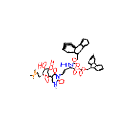 C=P(C)(C)CC[C@H]1OC(c2cn(C)c(=O)n(CCC(NC(=O)OCC3c4ccccc4-c4ccccc43)C(=O)OC(=O)OCC3c4ccccc4-c4ccccc43)c2=O)[C@H](O)[C@@H]1O